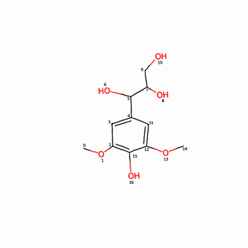 COc1cc(C(O)C(O)CO)cc(OC)c1O